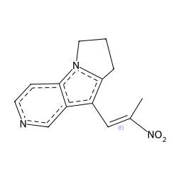 C/C(=C\c1c2n(c3ccncc13)CCC2)[N+](=O)[O-]